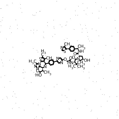 Cc1ncsc1-c1ccc([C@H](C)NC(=O)[C@@H]2C[C@@H](O)CN2C(=O)[C@@H](NC(=O)COc2cnc(-c3ccc(C4=N[C@@H](C(C)C(=O)O)c5nnc(C)n5-c5sc(C)c(C)c54)cc3)cn2)C(C)(C)C)cc1